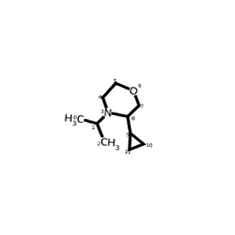 CC(C)N1CCOCC1C1CC1